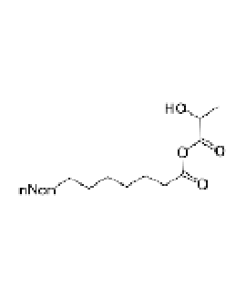 CCCCCCCCCCCCCCCC(=O)OC(=O)C(C)O